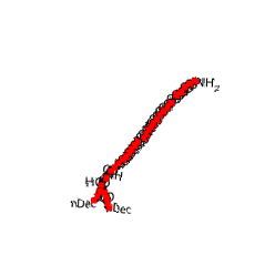 CCCCCCCCCCCCCC(=O)OC[C@H](COP(=O)(O)OCCNC(=O)OCCOOOOOOOOOOOOOOOOOOOOOOOOOOOOOOOOOOOOOOOOOOOO/C=C\N)OC(=O)CCCCCCCCCCCCC